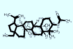 C=C(C)C1CCC2(CO)CC[C@]3(C)[C@H](CC[C@@H]4[C@@]5(C)CCC(OC(C)=O)C(C)(C)[C@@H]5CC[C@]43C)C12